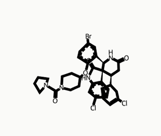 O=C1C[C@@H](C2C=CC=C(Cl)C2)[C@]2(C(=O)Nc3cc(Cl)ccc32)[C@@H](c2cc(Br)ccc2OC2CCN(C(=O)N3CCCC3)CC2)N1